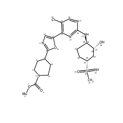 CC(C)(C)OC(=O)N1CCC(c2ncc(-c3nc(N[C@@H]4CC[C@@H](S(C)(=N)=O)C[C@H]4O)ncc3Cl)o2)CC1